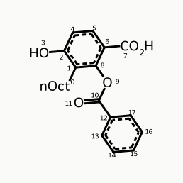 CCCCCCCCc1c(O)ccc(C(=O)O)c1OC(=O)c1ccccc1